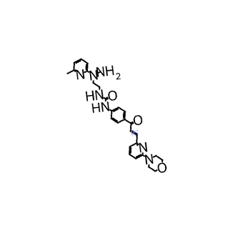 Cc1cccc(N(N)CCNC(=O)Nc2ccc(C(=O)/C=C/c3cccc(N4CCOCC4)n3)cc2)n1